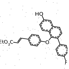 CCOC(=O)C=Cc1ccc(Oc2c(-c3ccc(F)cc3)ccc3cc(O)ccc23)cc1